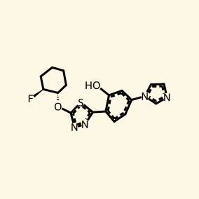 Oc1cc(-n2ccnc2)ccc1-c1nnc(O[C@H]2CCCC[C@@H]2F)s1